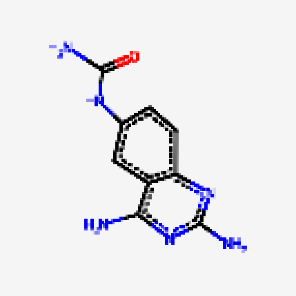 NC(=O)Nc1ccc2nc(N)nc(N)c2c1